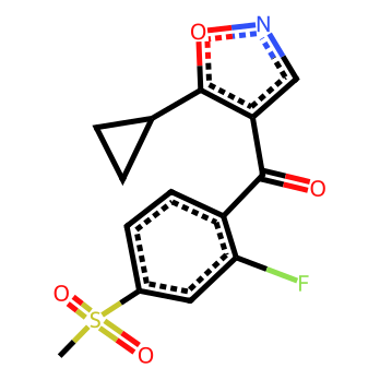 CS(=O)(=O)c1ccc(C(=O)c2cnoc2C2CC2)c(F)c1